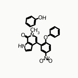 Cn1cc(-c2cc([N+](=O)[O-])ccc2Oc2ccccc2)c2cc[nH]c2c1=O.Oc1ccccc1